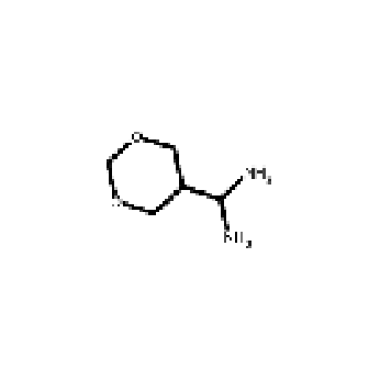 NC(N)C1COCOC1